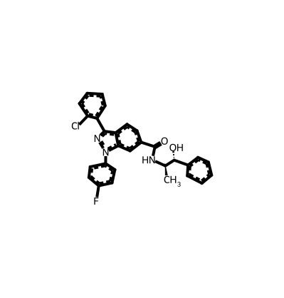 C[C@@H](NC(=O)c1ccc2c(-c3ccccc3Cl)nn(-c3ccc(F)cc3)c2c1)[C@H](O)c1ccccc1